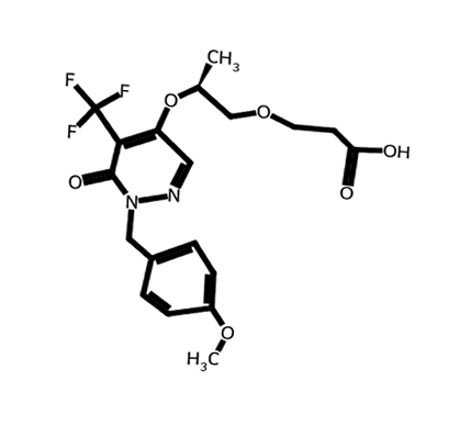 COc1ccc(Cn2ncc(O[C@@H](C)COCCC(=O)O)c(C(F)(F)F)c2=O)cc1